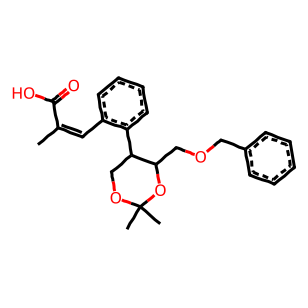 CC(=Cc1ccccc1C1COC(C)(C)OC1COCc1ccccc1)C(=O)O